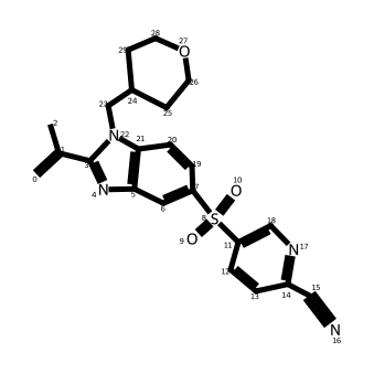 C=C(C)c1nc2cc(S(=O)(=O)c3ccc(C#N)nc3)ccc2n1CC1CCOCC1